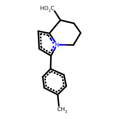 Cc1ccc(-c2ccc3n2CCCC3C(=O)O)cc1